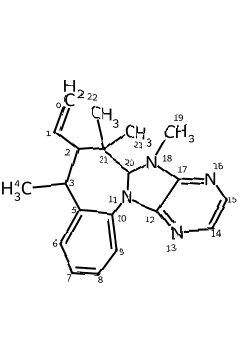 C=CC1C(C)c2ccccc2N2c3nccnc3N(C)C2C1(C)C